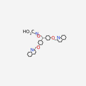 O=C(O)C=NOCC(c1ccc(OCc2ccc3ccccc3n2)cc1)c1ccc(OCc2ccc3ccccc3n2)cc1